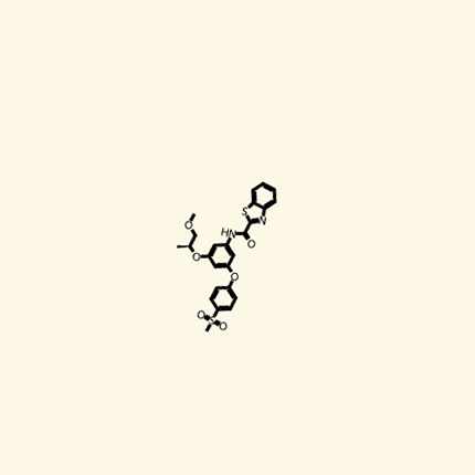 COC[C@H](C)Oc1cc(NC(=O)c2nc3ccccc3s2)cc(Oc2ccc(S(C)(=O)=O)cc2)c1